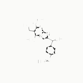 CCc1c(OC)nc2nc(C(O)c3ccc(OC)cc3)cn2c1C